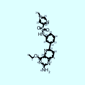 CCOc1nc(N)nc2ccc(-c3cccc(NS(=O)(=O)c4cn(C)cn4)c3)nc12